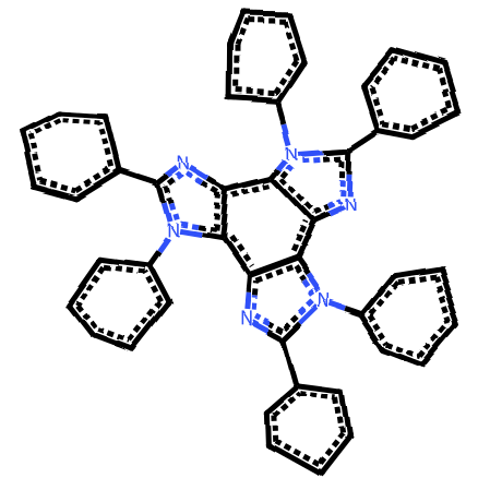 c1ccc(-c2nc3c(c4nc(-c5ccccc5)n(-c5ccccc5)c4c4nc(-c5ccccc5)n(-c5ccccc5)c34)n2-c2ccccc2)cc1